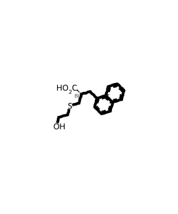 O=C(O)[C@@H](CSCCO)Cc1cccc2ccccc12